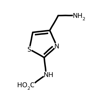 NCc1csc(NC(=O)O)n1